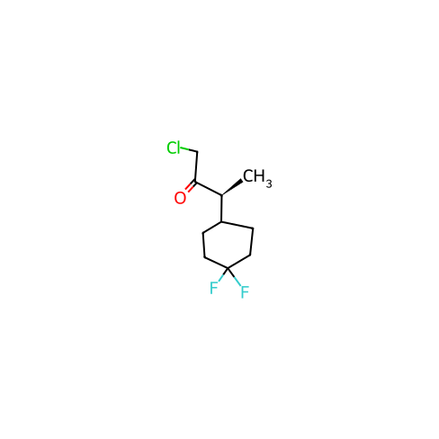 C[C@H](C(=O)CCl)C1CCC(F)(F)CC1